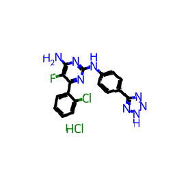 Cl.Nc1nc(Nc2ccc(-c3nn[nH]n3)cc2)nc(-c2ccccc2Cl)c1F